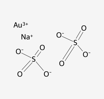 O=S(=O)([O-])[O-].O=S(=O)([O-])[O-].[Au+3].[Na+]